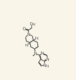 CN(c1ncnc2[nH]ccc12)C1CC[C@H]2CN(C(=O)CO)CC[C@H]2C1